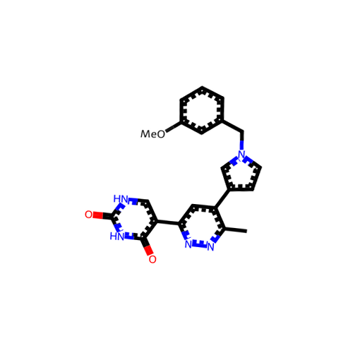 COc1cccc(Cn2ccc(-c3cc(-c4c[nH]c(=O)[nH]c4=O)nnc3C)c2)c1